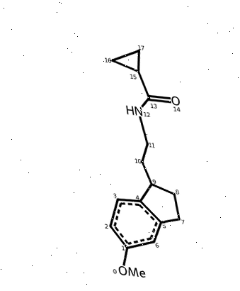 COc1ccc2c(c1)CCC2CCNC(=O)C1CC1